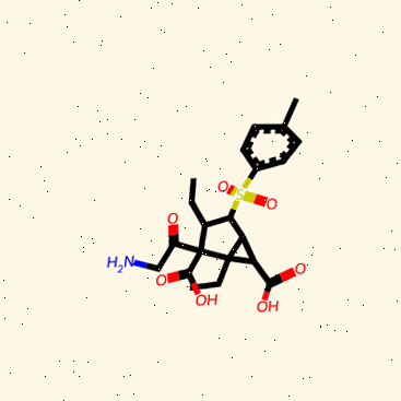 CCC1C(S(=O)(=O)c2ccc(C)cc2)C2C(C(=O)O)C2(CC)C1(C(=O)O)C(=O)CN